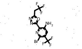 Nc1cc(C(F)(F)F)c(Br)nc1-c1nnc(CC(F)(F)F)o1